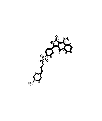 CN1CCN(CCCNS(=O)(=O)c2ccc(C3=C4C(=O)c5ccccc5C(N)=C4C(=O)N3)cc2)CC1